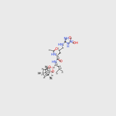 CC(=O)N[C@@H](CCCNC(=N)N[N+](=O)O)C(=O)N[C@@H](CC(C)C)B1O[C@@H]2C[C@@H]3C[C@@H](C3(C)C)[C@]2(C)O1